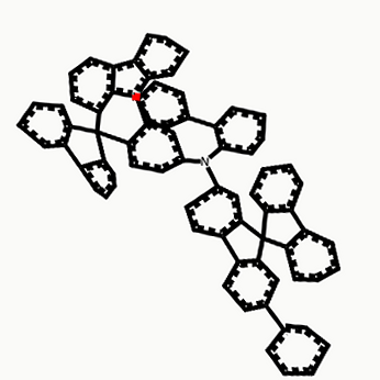 c1ccc(-c2ccc3c(c2)C2(c4ccccc4-c4ccccc42)c2cc(N(c4ccc5c(c4)-n4c6ccccc6c6cccc(c64)C54c5ccccc5-c5ccccc54)c4ccccc4-c4ccccc4)ccc2-3)cc1